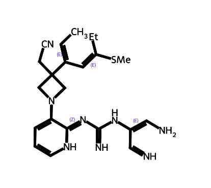 C/C=C(\C=C(/CC)SC)C1(CC#N)CN(c2ccc[nH]/c2=N\C(=N)N/C(C=N)=C/N)C1